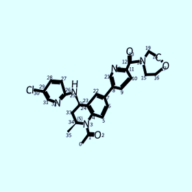 CC(=O)N1c2ccc(-c3ccc(C(=O)N4CCOCC4)nc3)cc2[C@H](Nc2ccc(Cl)cn2)C[C@@H]1C